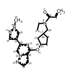 C=CC(=O)N1CC[C@@]2(CC[C@@H](Oc3nc(-c4cnn(C)c4)cn4nccc34)C2)C1